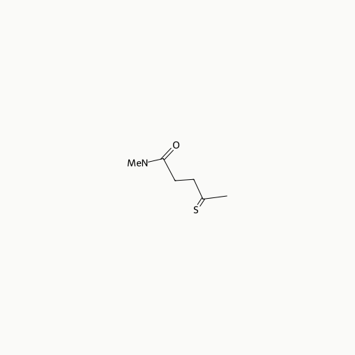 CNC(=O)CCC(C)=S